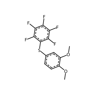 COc1ccc(Sc2c(F)c(F)c(F)c(F)c2F)cc1OC